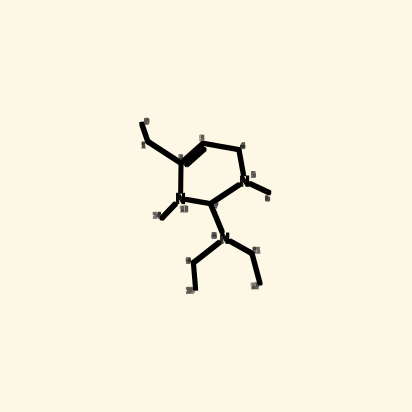 CCC1=CCN(C)C(N(CC)CC)N1C